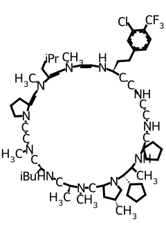 CC[C@H](C)[C@H]1CN(C)CCN2CCCC2=CN(C)C(CC(C)C)=CN(C)C=CN[C@@H](CCc2ccc(C(F)(F)F)c(Cl)c2)CCNCCNCC2(CCCC2)NC(C)[C@H](C2CCCC2)N2C[C@H](C)CC2CN(C)[C@@H](C)CN1